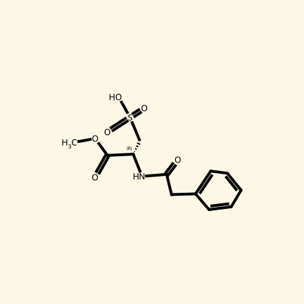 COC(=O)[C@H](CS(=O)(=O)O)NC(=O)Cc1ccccc1